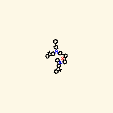 CC1(C)c2ccccc2-c2ccc(N(c3ccc(-c4ccccc4)cc3)c3ccc(-c4cccc5c4oc4c(-n6c7ccccc7c7cc8c(cc76)C(C)(C)c6ccccc6-8)cccc45)cc3)cc21